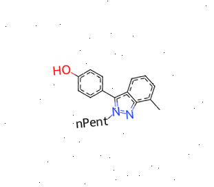 CCCCCn1nc2c(C)cccc2c1-c1ccc(O)cc1